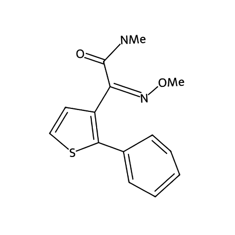 CNC(=O)C(=NOC)c1ccsc1-c1ccccc1